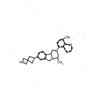 CC1CN(c2ccc(C#N)c3ncccc23)CC2c3ccc(N4CC5(CNC5)C4)cc3CN12